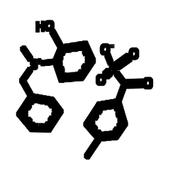 C[S+](Cc1ccccc1)c1ccccc1O.Cc1ccc(C(=O)S(=O)(=O)[O-])cc1